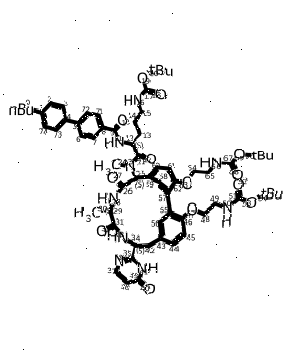 CCCCc1ccc(-c2ccc(C(=O)N[C@@H](CCCNC(=O)OC(C)(C)C)C(=O)N(C)[C@@H]3C(=O)N[C@@H](C)C(=O)N[C@H](c4nccc(=O)[nH]4)Cc4ccc(OCCNC(=O)OC(C)(C)C)c(c4)-c4cc3ccc4OCCNC(=O)OC(C)(C)C)cc2)cc1